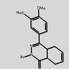 COc1ccc(C2=NN(C(C)C)C(=O)C3CC=CCC23)cc1OC